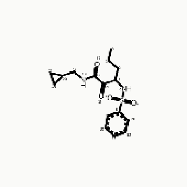 CCCC(NS(=O)(=O)c1ccccc1)C(=O)C(=O)NCC1CC1